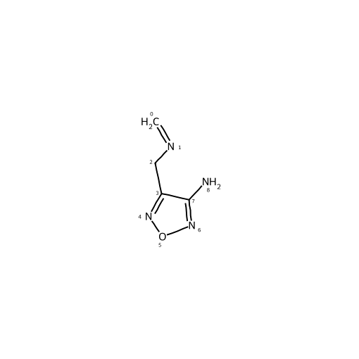 C=NCc1nonc1N